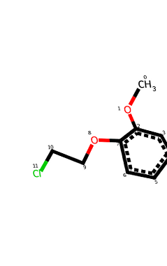 COc1c[c]ccc1OCCCl